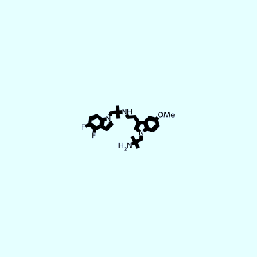 COc1ccc2c(c1)c(CCNC(C)(C)Cn1ccc3c(F)c(F)ccc31)cn2CC(C)(C)N